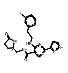 O=C1CC[C@H](CNC(=O)c2ccc(-c3cc[nH]n3)nc2NCCc2cccc(F)c2)N1